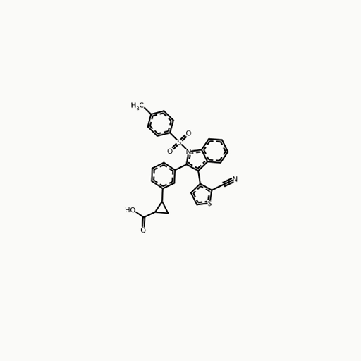 Cc1ccc(S(=O)(=O)n2c(-c3cccc(C4CC4C(=O)O)c3)c(-c3ccsc3C#N)c3ccccc32)cc1